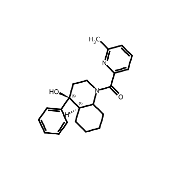 Cc1cccc(C(=O)N2CC[C@@](O)(c3ccccc3)[C@@H]3CCCCC32)n1